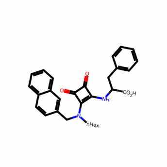 CCCCCCN(Cc1ccc2ccccc2c1)c1c(NC(Cc2ccccc2)C(=O)O)c(=O)c1=O